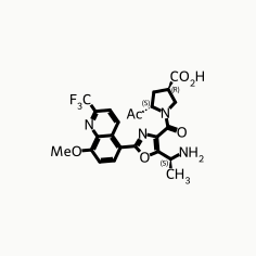 COc1ccc(-c2nc(C(=O)N3C[C@H](C(=O)O)C[C@H]3C(C)=O)c([C@H](C)N)o2)c2ccc(C(F)(F)F)nc12